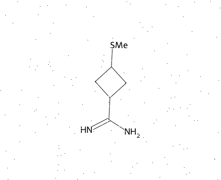 CSC1CC(C(=N)N)C1